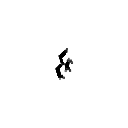 C=C.C=COC=O